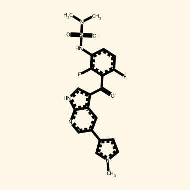 CN(C)S(=O)(=O)Nc1ccc(F)c(C(=O)c2c[nH]c3ncc(-c4ccn(C)c4)cc23)c1F